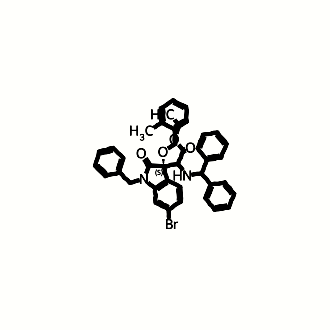 CCOC(=O)C(NC(c1ccccc1)c1ccccc1)[C@]1(OCc2ccccc2C)C(=O)N(Cc2ccccc2)c2cc(Br)ccc21